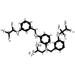 OC(CN(Cc1cccc(OC(F)(F)C(F)F)c1)c1cccc(OCc2cccc(OC(F)C(F)F)c2)c1)C(F)(F)F